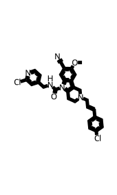 COc1cc2c3c(n(C(=O)NCc4ccnc(Cl)c4)c2cc1C#N)CCN(CC=Cc1ccc(Cl)cc1)C3